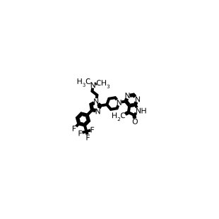 C=C1C(=O)Nc2ncnc(N3CCC(c4nc(-c5ccc(F)c(C(F)(F)F)c5)cn4CCN(C)C)CC3)c21